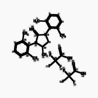 Cc1cccc(C)c1N1CC(C)N(c2c(C)cccc2C)C1=N.O=C(O)C(F)(F)F.O=C(O)C(F)(F)F